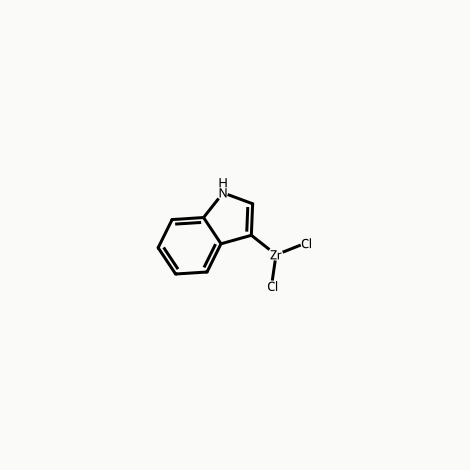 [Cl][Zr]([Cl])[c]1c[nH]c2ccccc12